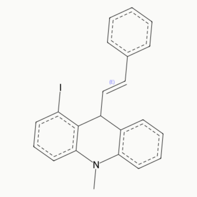 CN1c2ccccc2C(/C=C/c2ccccc2)c2c(I)cccc21